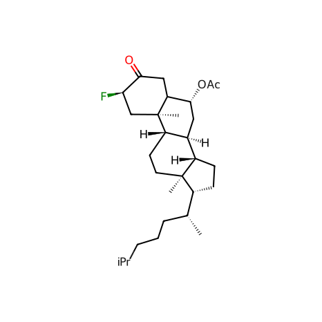 CC(=O)O[C@@H]1C[C@H]2[C@@H]3CC[C@H]([C@H](C)CCCC(C)C)[C@@]3(C)CC[C@@H]2[C@@]2(C)C[C@@H](F)C(=O)CC12